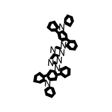 c1ccc(-n2c3ccccc3c3cc4c(cc32)c2ccccc2n4-c2cnc3cnc(-n4c5ccccc5c5cc6c(cc54)c4ccccc4n6-c4ccccc4)nc3n2)cc1